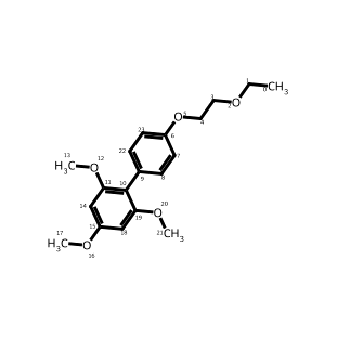 CCOCCOc1ccc(-c2c(OC)cc(OC)cc2OC)cc1